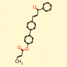 C/C=C/C(=O)Oc1ccc(-c2ccc(/C=C/C(=O)c3ccccc3)cc2)cc1